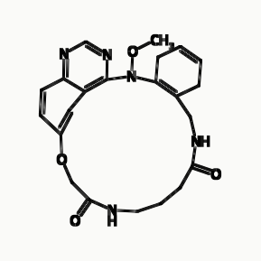 CON1C2=C(CC=CC2)CNC(=O)CCCNC(=O)COc2ccc3ncnc1c3c2